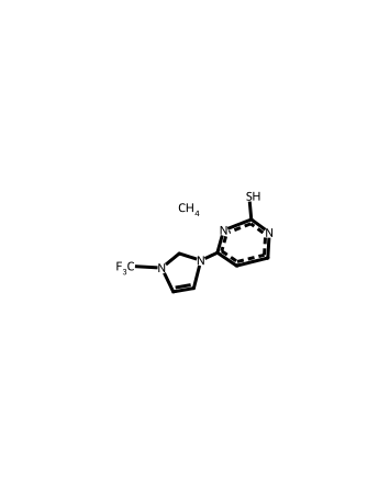 C.FC(F)(F)N1C=CN(c2ccnc(S)n2)C1